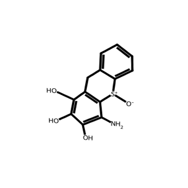 Nc1c(O)c(O)c(O)c2c1[S+]([O-])c1ccccc1C2